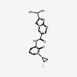 CCCC(CCC)c1cn2cc(C(=O)Nc3cccn([C@H]4C[C@@H]4C)c3=O)cnc2n1